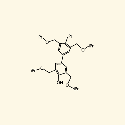 CC(C)OCc1cc(-c2cc(COC(C)C)c(C(C)C)c(COC(C)C)c2)cc(COC(C)C)c1O